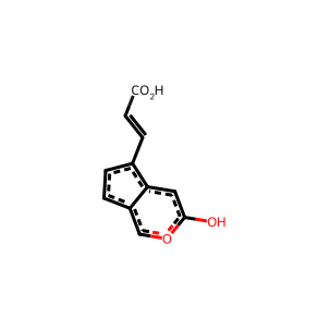 O=C(O)C=Cc1ccc2coc(O)cc1-2